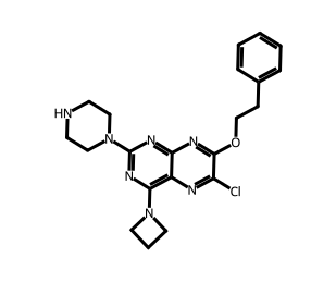 Clc1nc2c(N3CCC3)nc(N3CCNCC3)nc2nc1OCCc1ccccc1